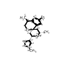 CCc1cc2c(s1)C(C)CO[C@@]21C[C@@H](c2cn(C)nn2)N[C@@H](C)C1